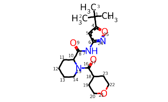 CC(C)(C)c1cc(NC(=O)C2CCCCN2C(=O)C2CCOCC2)no1